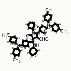 Cc1ccc(N(c2ccc(C)cc2)c2ccc(C3=C(C=O)/C(=C(\Nc4ccccc4)c4ccc(N(c5ccc(C)cc5)c5ccc(C)cc5)cc4)C(=O)N3c3ccccc3)cc2)cc1